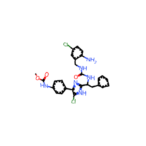 COC(=O)Nc1ccc(-c2nc(C(Cc3ccccc3)NC(=O)NCc3cc(Cl)ccc3N)[nH]c2Cl)cc1